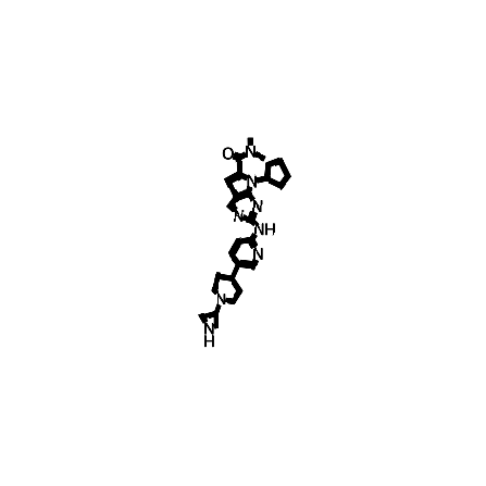 CN(C)C(=O)c1cc2cnc(Nc3ccc(C4CCN(C5CNC5)CC4)cn3)nc2n1C1CCCC1